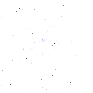 CC(C)(C)OC(=O)NCC(CCC(NC(=O)OC(C)(C)C)C(=O)O)N1C(=O)CCC1=O